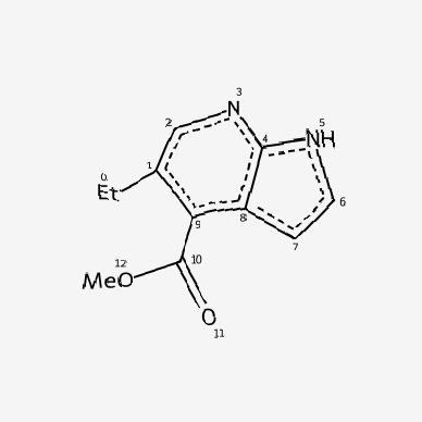 CCc1cnc2[nH]ccc2c1C(=O)OC